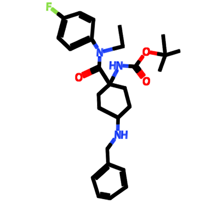 CCN(C(=O)C1(NC(=O)OC(C)(C)C)CCC(NCc2ccccc2)CC1)c1ccc(F)cc1